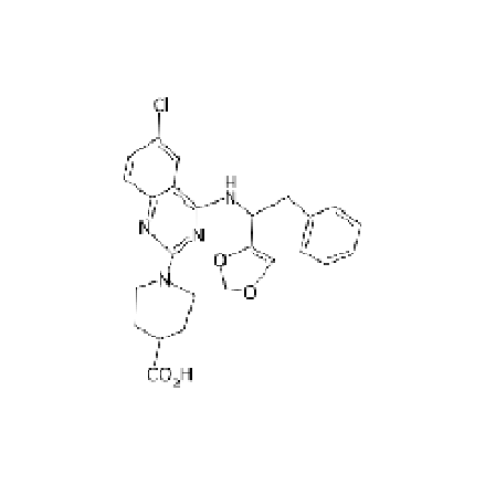 O=C(O)C1CCN(c2nc(NC(Cc3ccccc3)C3=COCO3)c3cc(Cl)ccc3n2)CC1